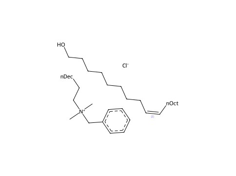 CCCCCCCC/C=C\CCCCCCCCO.CCCCCCCCCCCC[N+](C)(C)Cc1ccccc1.[Cl-]